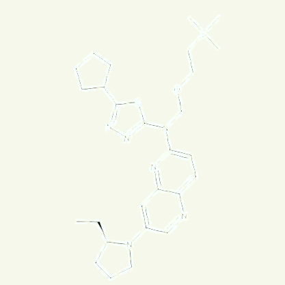 CC[C@@H]1CCCN1c1cnc2ccc(N(COCC[Si](C)(C)C)c3nnc(C4CCCC4)s3)nc2c1